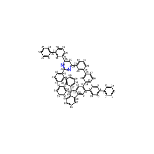 c1ccc(-c2ccc(-c3cc4c(cc3-c3cccc(-c5cccc(-c6cc(-c7cccc(-c8ccccc8)c7)nc(-c7ccccc7)n6)c5)c3)C(c3ccccc3)(c3ccccc3)c3ccccc3-4)cc2)cc1